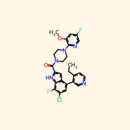 CCc1ccncc1-c1cc(Cl)c(F)c2[nH]c(C(=O)N3CCN(c4ncc(F)cc4OC)CC3)cc12